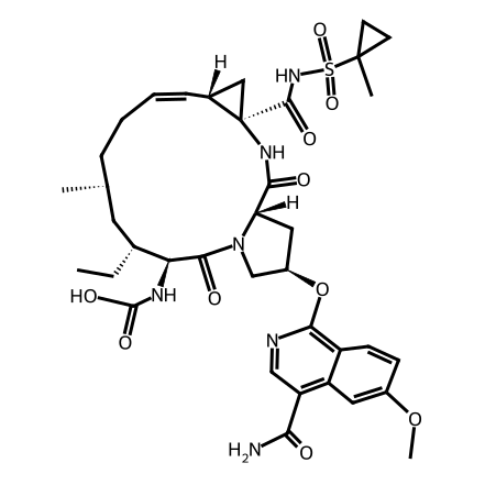 CC[C@@H]1C[C@H](C)CCC=C[C@@H]2C[C@@]2(C(=O)NS(=O)(=O)C2(C)CC2)NC(=O)[C@@H]2C[C@@H](Oc3ncc(C(N)=O)c4cc(OC)ccc34)CN2C(=O)[C@H]1NC(=O)O